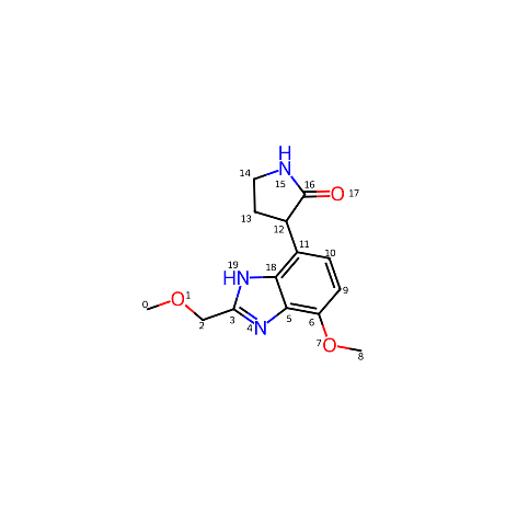 COCc1nc2c(OC)ccc(C3CCNC3=O)c2[nH]1